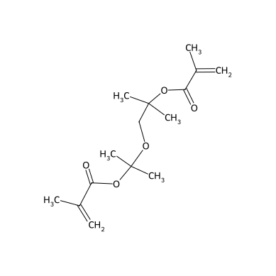 C=C(C)C(=O)OC(C)(C)COC(C)(C)OC(=O)C(=C)C